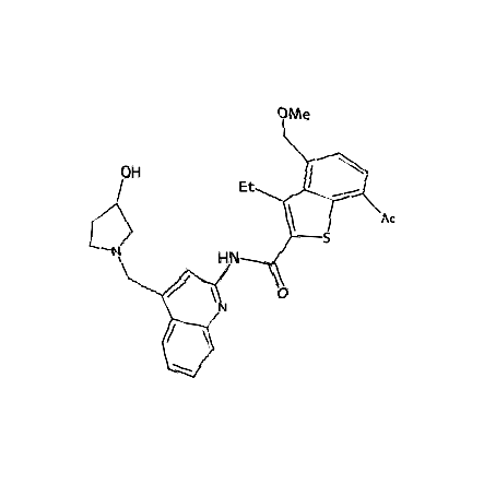 CCc1c(C(=O)Nc2cc(CN3CCC(O)C3)c3ccccc3n2)sc2c(C(C)=O)ccc(COC)c12